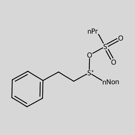 CCCCCCCCC[S+](CCc1ccccc1)OS(=O)(=O)CCC